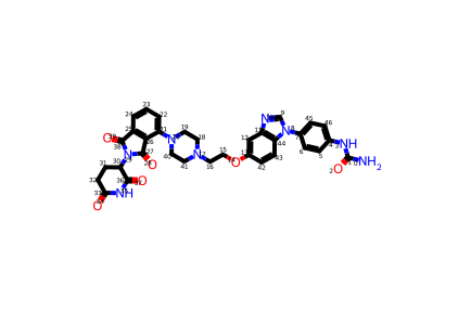 NC(=O)Nc1ccc(-n2cnc3cc(OCCN4CCN(c5cccc6c5C(=O)N(C5CCC(=O)NC5=O)C6=O)CC4)ccc32)cc1